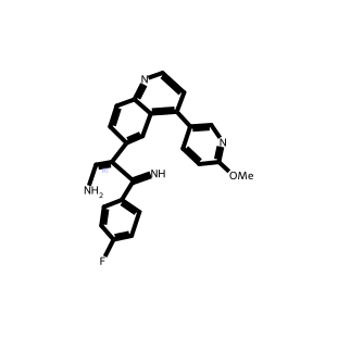 COc1ccc(-c2ccnc3ccc(/C(=C/N)C(=N)c4ccc(F)cc4)cc23)cn1